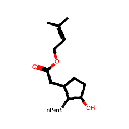 CCCCCC1C(O)CCC1CC(=O)OCC=C(C)C